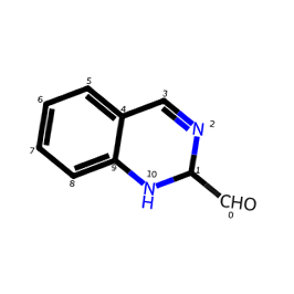 O=CC1N=Cc2ccccc2N1